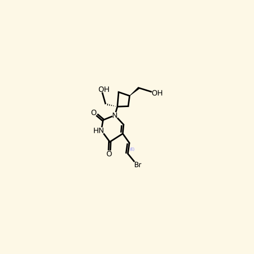 O=c1[nH]c(=O)n([C@]2(CO)C[C@H](CO)C2)cc1/C=C/Br